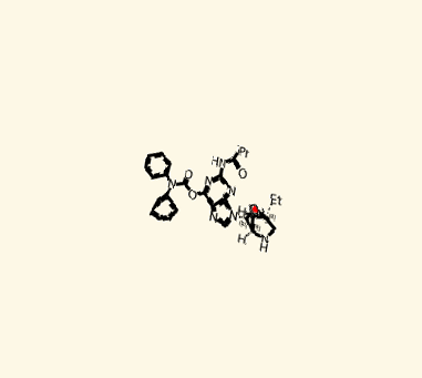 CC[C@@]12CN[C@@H]([C@H](n3cnc4c(OC(=O)N(c5ccccc5)c5ccccc5)nc(NC(=O)C(C)C)nc43)O1)[C@@H]2C